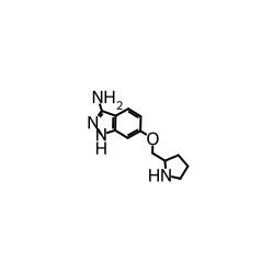 Nc1n[nH]c2cc(OCC3CCCN3)ccc12